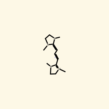 CN1CCN(C)C1=C/C=C/C1=[N+](C)CCN1C